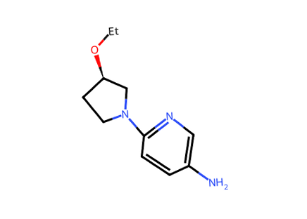 CCO[C@@H]1CCN(c2ccc(N)cn2)C1